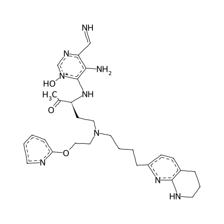 CC(=O)[C@H](CCN(CCCCc1ccc2c(n1)NCCC2)CCOc1ccccn1)Nc1c(N)c(C=N)nc[n+]1O